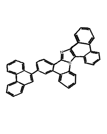 c1ccc2c(c1)cc(-c1ccc3c(c1)c1ccccc1n1c3nc3c4ccccc4c4ccccc4c31)c1ccccc12